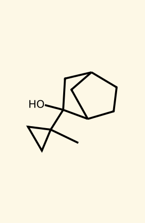 CC1(C2(O)CC3CCC2C3)CC1